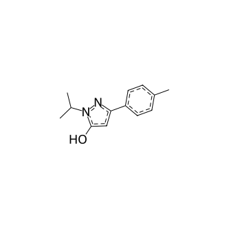 Cc1ccc(-c2cc(O)n(C(C)C)n2)cc1